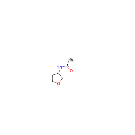 CC(C)(C)C(=O)NC1CCOC1